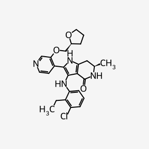 CCc1c(Cl)cccc1Nc1c(-c2ccncc2OC[C@@H]2CCCO2)[nH]c2c1C(=O)N[C@H](C)C2